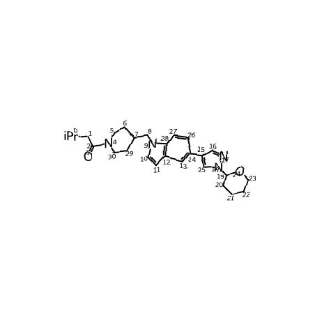 CC(C)CC(=O)N1CCC(Cn2ccc3cc(-c4cnn(C5CCCCO5)c4)ccc32)CC1